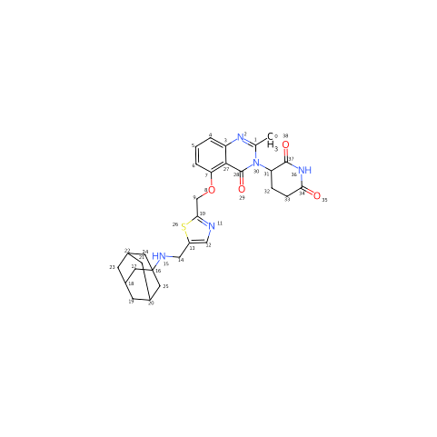 Cc1nc2cccc(OCc3ncc(CNC45CC6CC(CC(C6)C4)C5)s3)c2c(=O)n1C1CCC(=O)NC1=O